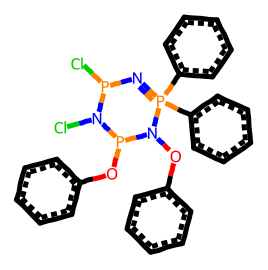 ClN1P(Cl)N=P(c2ccccc2)(c2ccccc2)N(Oc2ccccc2)P1Oc1ccccc1